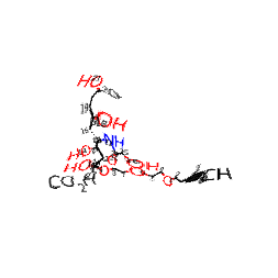 C#CCOCCOCCO[C@](O)(C[C@H](O)[C@H](C[C@H](O)CCO)NC(=O)CO)C(=O)O